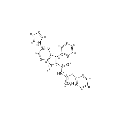 Cn1c(C(=O)N[C@@H](Cc2ccccc2)C(=O)O)c(-c2ccccc2)c2cc(-n3cccc3)ccc21